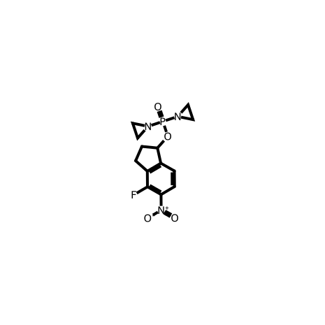 O=[N+]([O-])c1ccc2c(c1F)CCC2OP(=O)(N1CC1)N1CC1